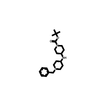 CC(C)(C)OC(=O)N1CCC(NC2CCN(Cc3ccccc3)CC2)CC1